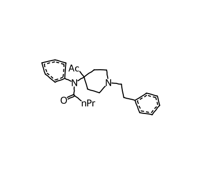 CCCC(=O)N(c1ccccc1)C1(C(C)=O)CCN(CCc2ccccc2)CC1